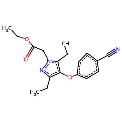 CCOC(=O)Cn1nc(CC)c(Oc2ccc(C#N)cc2)c1CC